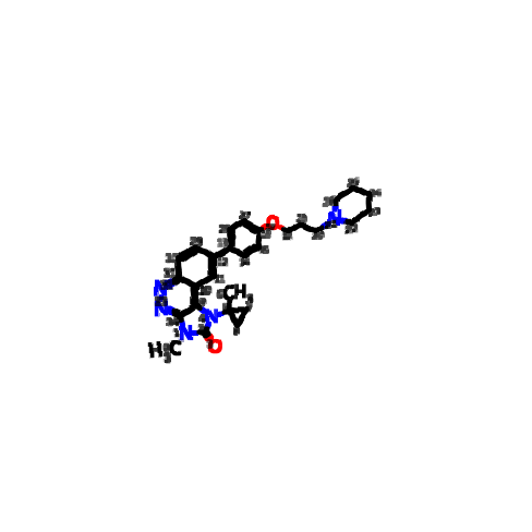 Cn1c(=O)n(C2(C)CC2)c2c3cc(-c4ccc(OCCCN5CCCCC5)cc4)ccc3nnc21